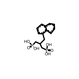 O=P(O)(O)CC(Cc1cccc2ccccc12)CP(=O)(O)O